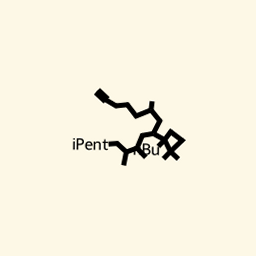 C#CCCCC(C)CC(CC(C)C(C)CC(C)CCC)C1(CCCC)CCC1(C)C